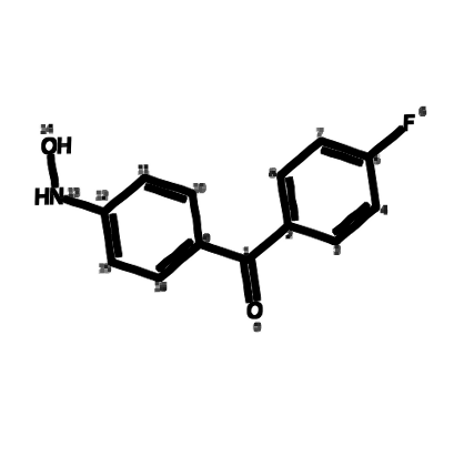 O=C(c1ccc(F)cc1)c1ccc(NO)cc1